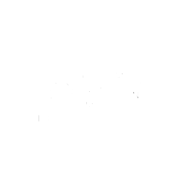 CC(C)(C1CNC(=O)CO1)S(=O)(=O)c1cccc(C(F)(F)F)c1